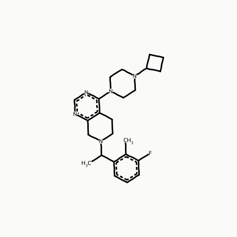 Cc1c(F)cccc1C(C)N1CCc2c(ncnc2N2CCN(C3CCC3)CC2)C1